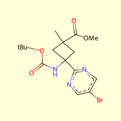 COC(=O)C1(C)CC(NC(=O)OC(C)(C)C)(c2ncc(Br)cn2)C1